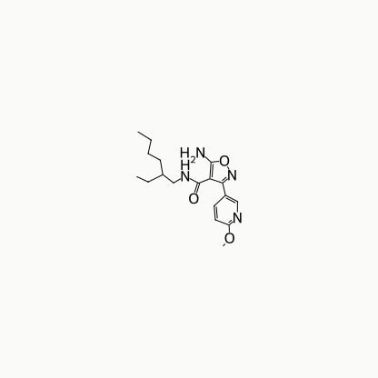 CCCCC(CC)CNC(=O)c1c(-c2ccc(OC)nc2)noc1N